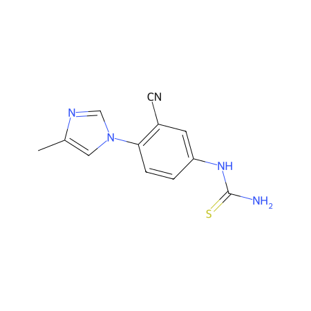 Cc1cn(-c2ccc(NC(N)=S)cc2C#N)cn1